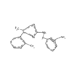 Nc1cccc(SNc2ccc(C(F)(F)F)c(-c3ccccc3C(F)(F)F)n2)n1